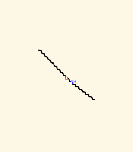 CCCCCCCCC=CCCCCCCCCOCCNCCCCCCCCCCCCCC